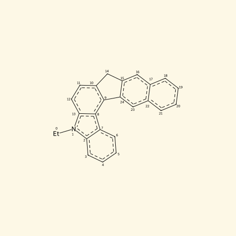 CCn1c2ccccc2c2c3c(ccc21)Cc1cc2ccccc2cc1-3